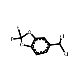 FC1(F)Oc2ccc(C(Cl)Cl)cc2O1